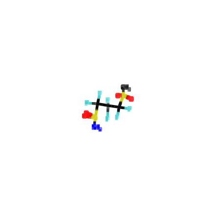 CS(=O)(=O)C(F)(F)C(F)(F)C(F)(F)S(N)(=O)=O